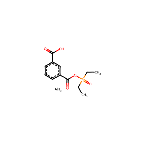 CCP(=O)(CC)OC(=O)c1cccc(C(=O)O)c1.[AlH3]